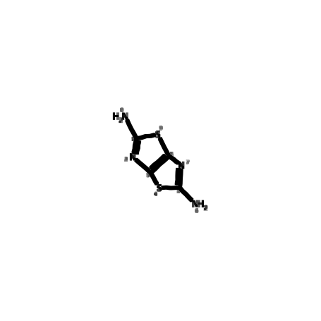 Nc1nc2sc(N)nc2s1